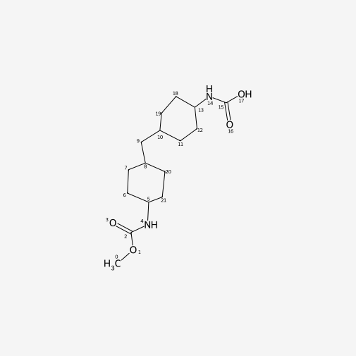 COC(=O)NC1CCC(CC2CCC(NC(=O)O)CC2)CC1